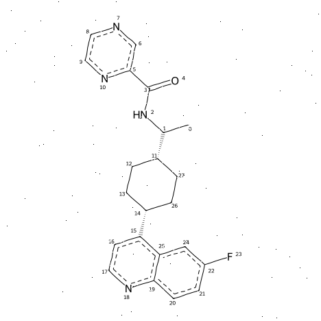 CC(NC(=O)c1cnccn1)[C@H]1CC[C@@H](c2ccnc3ccc(F)cc32)CC1